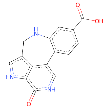 O=C(O)c1ccc2c(c1)NCc1c[nH]c3c(=O)[nH]cc-2c13